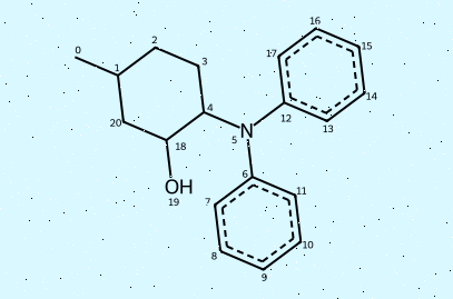 CC1CCC(N(c2ccccc2)c2ccccc2)C(O)C1